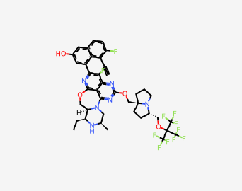 C#Cc1c(F)ccc2cc(O)cc(-c3nc4c5c(nc(OC[C@@]67CCCN6[C@H](COC(C(F)(F)F)(C(F)(F)F)C(F)(F)F)CC7)nc5c3F)N3C[C@@H](C)N[C@@H](CC)[C@H]3CO4)c12